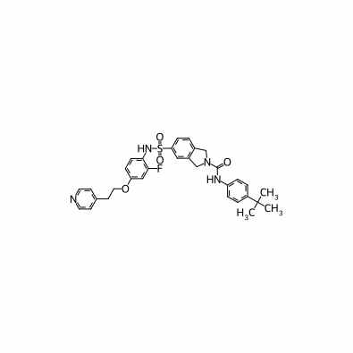 CC(C)(C)c1ccc(NC(=O)N2Cc3ccc(S(=O)(=O)Nc4ccc(OCCc5ccncc5)cc4F)cc3C2)cc1